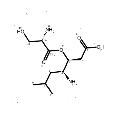 CC(C)C[C@H](N)[C@H](CC(=O)O)OC(=O)[C@@H](N)CO